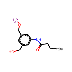 CC(C)(C)CCC(=O)Nc1cc(CO)cc(COP)c1